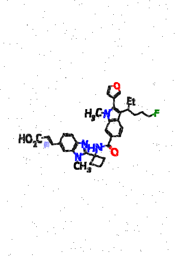 CCC(CCCF)c1c(-c2ccoc2)n(C)c2cc(C(=O)NC3(c4nc5ccc(/C=C/C(=O)O)cc5n4C)CCC3)ccc12